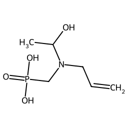 C=CCN(CP(=O)(O)O)C(C)O